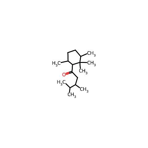 CC(C)C(C)CC(=O)C1C(C)CCC(C)C1(C)C